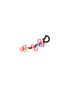 CS(=O)(=O)SCCOC(=O)CNC(=O)OC1/C=C/CCCCC1